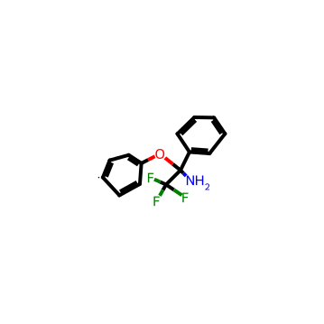 NC(Oc1cc[c]cc1)(c1ccccc1)C(F)(F)F